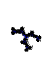 c1ccc(N(c2ccccc2)c2ccc(-c3ccc4c(c3)c3ccccc3n4-c3ccc(-c4cc(-c5ccc(-n6c7ccccc7c7cc(-c8ccc(N(c9ccccc9)c9ccccc9)cc8)ccc76)cc5)nc(-c5ccc(-n6c7ccccc7c7cc(-c8ccc(N(c9ccccc9)c9ccccc9)cc8)ccc76)cc5)n4)cc3)cc2)cc1